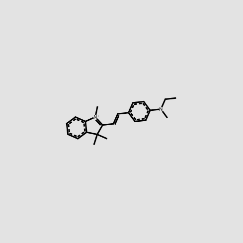 CCN(C)c1ccc(/C=C/C2=[N+](C)c3ccccc3C2(C)C)cc1